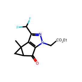 CCOC(=O)Cn1nc(C(F)F)c2c1C(=O)C1CC21C